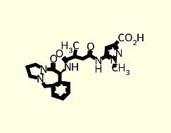 CC(CC(=O)Nc1cc(C(=O)O)nn1C)C(=O)N[C@@H]1C(=O)N2CCCN2Cc2ccccc21